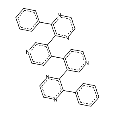 c1ccc(-c2nccnc2-c2cnccc2-c2ccncc2-c2nccnc2-c2ccccc2)cc1